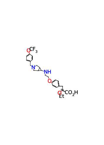 CCO[C@@H](Cc1ccc(OCCNC2C3CN(Cc4ccc(OC(F)(F)F)cc4)CC32)cc1)C(=O)O